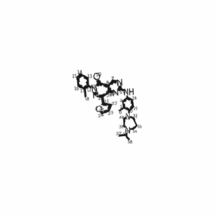 Cc1cc(Nc2ncc3c(=O)n(-c4ccccc4C)nc(-c4ccco4)c3n2)ccc1N1CCCN(C(C)C)CC1